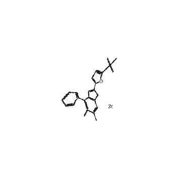 Cc1cc2c(c(-c3ccccc3)c1C)C=C(c1ccc(C(C)(C)C)o1)[CH]2.[Zr]